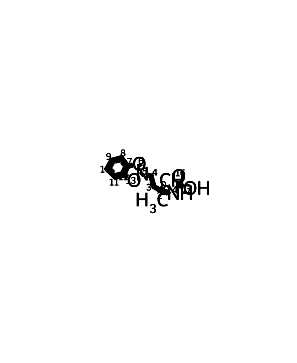 CC(C)(CCN1Oc2ccccc2O1)NC(=O)O